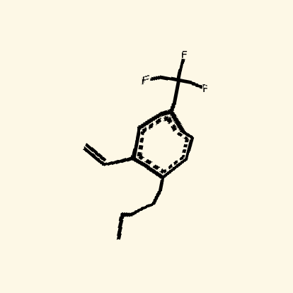 C=Cc1cc(C(F)(F)F)ccc1CCC